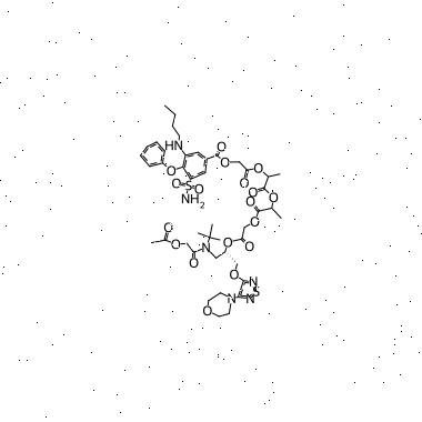 CCCCNc1cc(C(=O)OCC(=O)OC(C)C(=O)OC(C)C(=O)OCC(=O)O[C@H](COc2nsnc2N2CCOCC2)CN(C(=O)COC(C)=O)C(C)(C)C)cc(S(N)(=O)=O)c1Oc1ccccc1